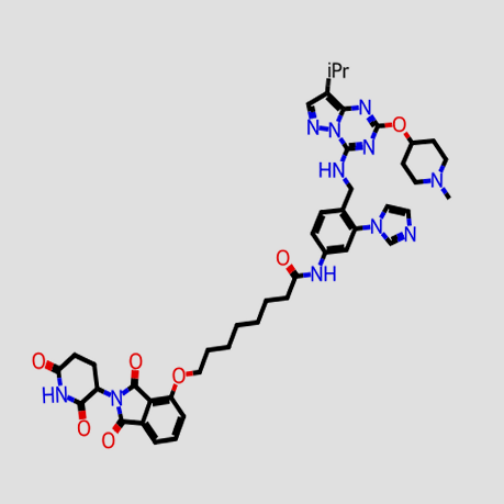 CC(C)c1cnn2c(NCc3ccc(NC(=O)CCCCCCCOc4cccc5c4C(=O)N(C4CCC(=O)NC4=O)C5=O)cc3-n3ccnc3)nc(OC3CCN(C)CC3)nc12